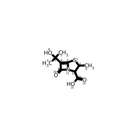 CC1SC2=C(C(C)(C)O)C(=O)N2C1C(=O)O